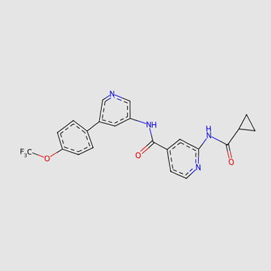 O=C(Nc1cncc(-c2ccc(OC(F)(F)F)cc2)c1)c1ccnc(NC(=O)C2CC2)c1